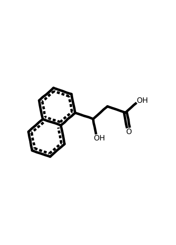 O=C(O)CC(O)c1cccc2ccccc12